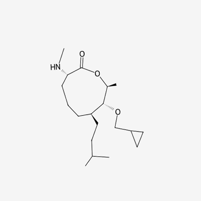 CN[C@H]1CCC[C@H](CCC(C)C)[C@@H](OCC2CC2)[C@H](C)OC1=O